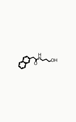 O=C(Cc1ccc2ccccc2c1)NCCCO